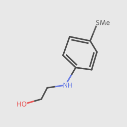 CSc1ccc(NCCO)cc1